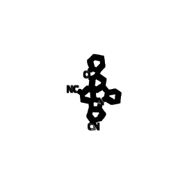 N#Cc1ccc2c(c1)c1cc(C#N)ccc1n2-c1ccccc1-c1ccc2oc3ccccc3c2c1